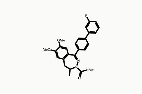 CNC(=O)N1N=C(c2ccc(-c3cccc(F)c3)cc2)c2cc(OC)c(OC)cc2CC1C